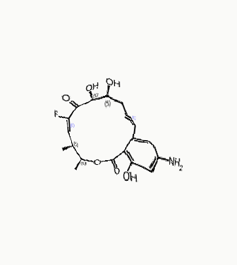 C[C@@H]1OC(=O)c2c(O)cc(N)cc2/C=C/C[C@H](O)[C@H](O)C(=O)/C(F)=C\[C@@H]1C